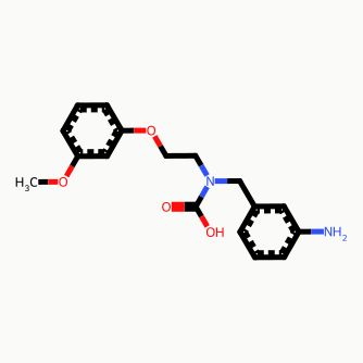 COc1cccc(OCCN(Cc2cccc(N)c2)C(=O)O)c1